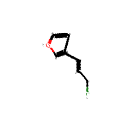 ClC/C=C/c1ccoc1